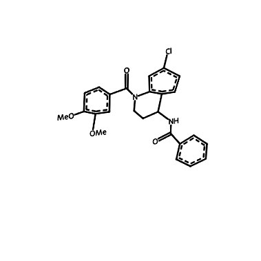 COc1ccc(C(=O)N2CCC(NC(=O)c3ccccc3)c3ccc(Cl)cc32)cc1OC